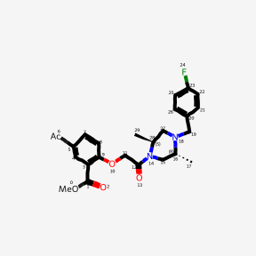 COC(=O)c1cc(C(C)=O)ccc1OCC(=O)N1C[C@@H](C)N(Cc2ccc(F)cc2)C[C@@H]1C